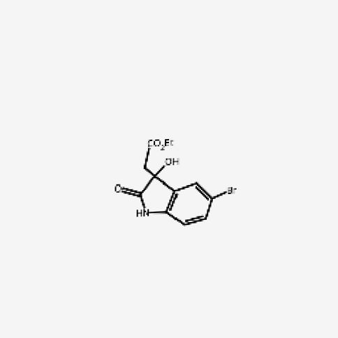 CCOC(=O)CC1(O)C(=O)Nc2ccc(Br)cc21